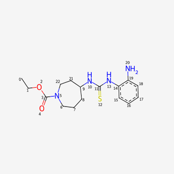 CCOC(=O)N1CCCC(NC(=S)Nc2ccccc2N)CC1